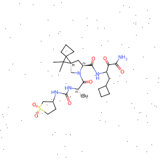 CC(C)(C)[C@H](NC(=O)NC1CCS(=O)(=O)C1)C(=O)N1C[C@]2(C[C@H]1C(=O)NC(CC1CCC1)C(=O)C(N)=O)C(C)(C)C21CCC1